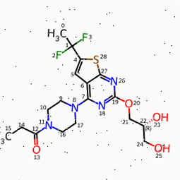 CC(F)(F)c1cc2c(N3CCN(C(=O)CC(F)(F)F)CC3)nc(OC[C@H](O)CO)nc2s1